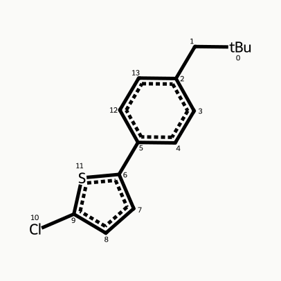 CC(C)(C)Cc1ccc(-c2ccc(Cl)s2)cc1